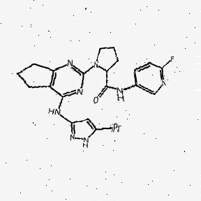 CC(C)c1cc(Nc2nc(N3CCCC3C(=O)Nc3ccc(F)nc3)nc3c2CCC3)n[nH]1